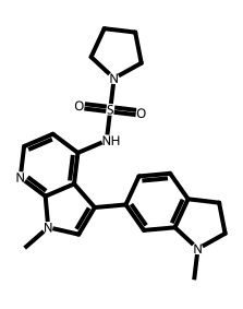 CN1CCc2ccc(-c3cn(C)c4nccc(NS(=O)(=O)N5CCCC5)c34)cc21